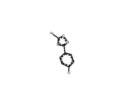 [2H]c1nc(-c2ccc(Cl)cc2)no1